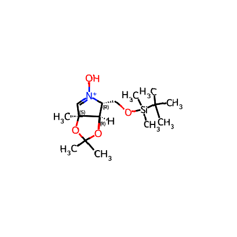 CC1(C)O[C@@H]2[C@@H](CO[Si](C)(C)C(C)(C)C)[N+](O)=C[C@]2(C)O1